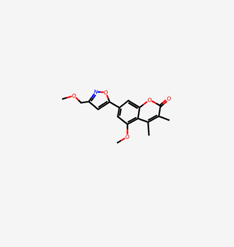 COCc1cc(-c2cc(OC)c3c(C)c(C)c(=O)oc3c2)on1